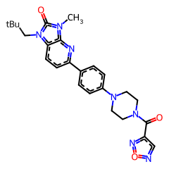 Cn1c(=O)n(CC(C)(C)C)c2ccc(-c3ccc(N4CCN(C(=O)c5cnon5)CC4)cc3)nc21